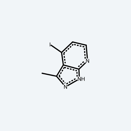 Cc1n[nH]c2nccc(I)c12